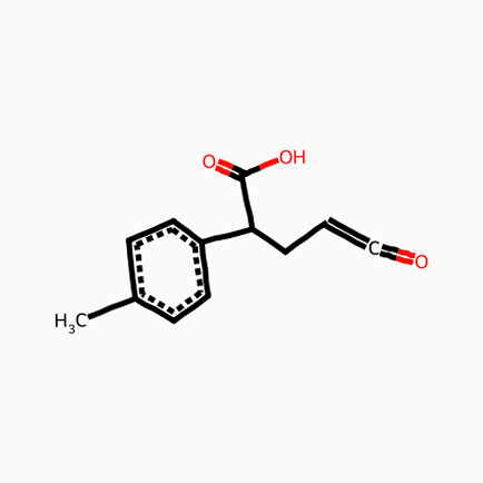 Cc1ccc(C(CC=C=O)C(=O)O)cc1